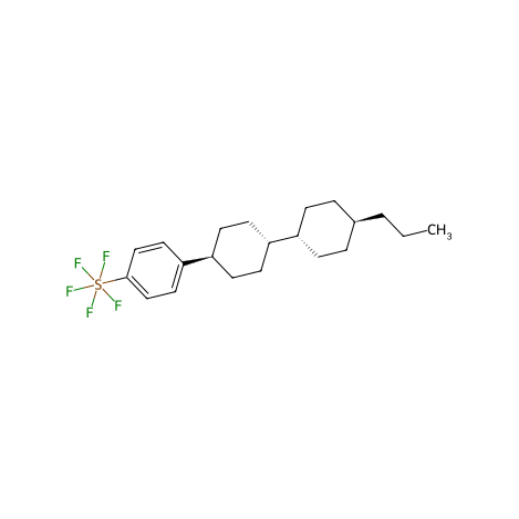 CCC[C@H]1CC[C@H]([C@H]2CC[C@H](c3ccc(S(F)(F)(F)(F)F)cc3)CC2)CC1